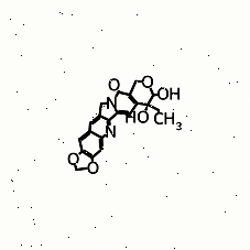 CC[C@]1(O)c2cc3n(c(=O)c2COC1O)Cc1cc2cc4c(cc2nc1-3)OCO4